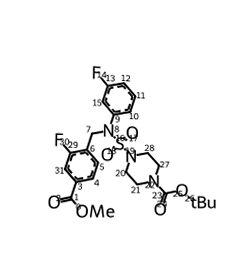 COC(=O)c1ccc(CN(c2cccc(F)c2)S(=O)(=O)N2CCN(C(=O)OC(C)(C)C)CC2)c(F)c1